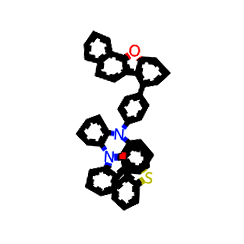 c1ccc(-n2c3ccccc3c3ccccc32)c(N(c2ccc(-c3cccc4oc5c6ccccc6ccc5c34)cc2)c2ccc3sc4ccccc4c3c2)c1